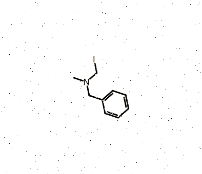 CN(CI)Cc1ccccc1